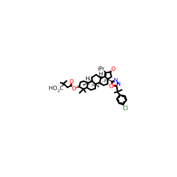 CC(C)C1=C2[C@H]3CC[C@@H]4[C@@]5(C)CC[C@H](OC(=O)CC(C)(C)C(=O)O)C(C)(C)C5CC[C@@]4(C)[C@]3(C)CC[C@@]2(c2nnc(C(C)(C)c3ccc(Cl)cc3)o2)CC1=O